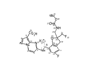 C[C@@H](Nc1ccn2ncc(C(=O)O)c2n1)c1cc(F)cc2c1OC(CF)(CNC(=O)OC(C)(C)C)C2